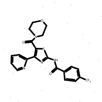 O=C(Nc1nc(-c2ccccn2)c(C(=O)N2CCOCC2)s1)c1ccc(C(F)(F)F)cc1